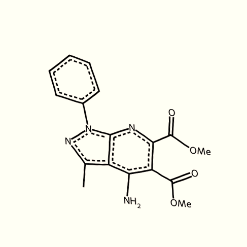 COC(=O)c1nc2c(c(C)nn2-c2ccccc2)c(N)c1C(=O)OC